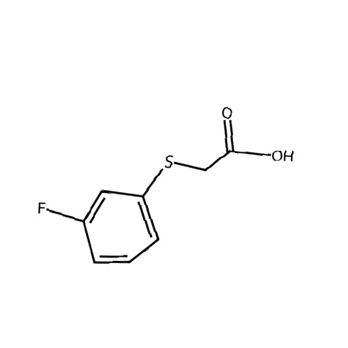 O=C(O)CSc1cccc(F)c1